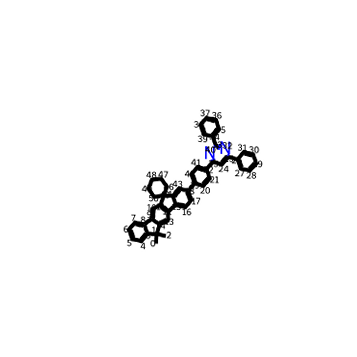 CC1(C)c2ccccc2-c2cc3c(cc21)-c1ccc(-c2ccc(-c4cc(-c5ccccc5)nc(-c5ccccc5)n4)cc2)cc1C31CCCCC1